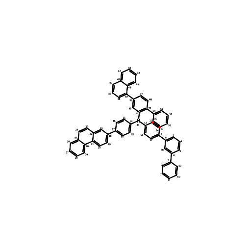 c1ccc(-c2cccc(-c3ccc(N(c4ccc(-c5ccc6c(ccc7ccccc76)c5)cc4)c4cc(-c5cccc6ccccc56)ccc4-c4ccccc4)cc3)c2)cc1